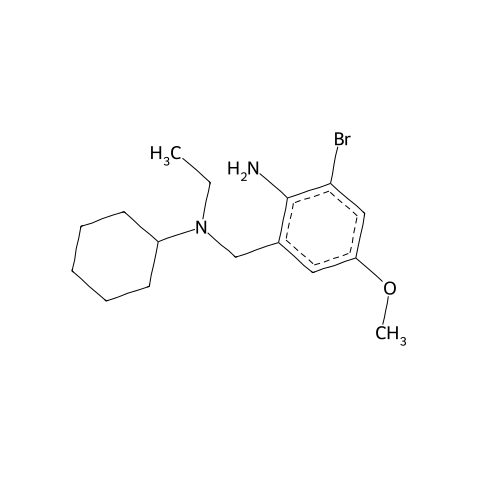 CCN(Cc1cc(OC)cc(Br)c1N)C1CCCCC1